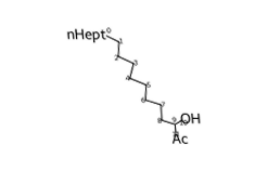 CCCCCCCCCCCCCCCC(O)C(C)=O